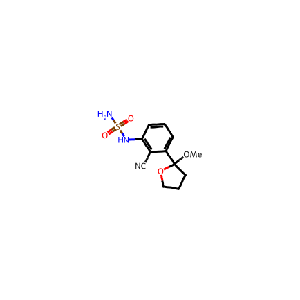 COC1(c2cccc(NS(N)(=O)=O)c2C#N)CCCO1